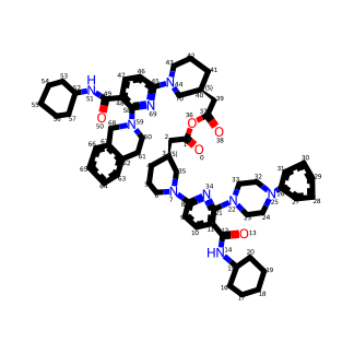 O=C(C[C@@H]1CCCN(c2ccc(C(=O)NC3CCCCC3)c(N3CCN(c4ccccc4)CC3)n2)C1)OC(=O)C[C@@H]1CCCN(c2ccc(C(=O)NC3CCCCC3)c(N3CCc4ccccc4C3)n2)C1